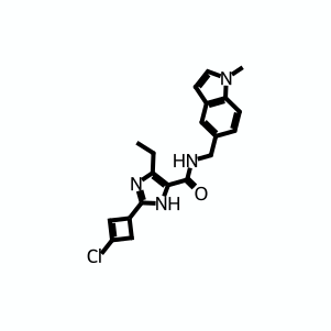 CCc1nc(C2C=C(Cl)C2)[nH]c1C(=O)NCc1ccc2c(ccn2C)c1